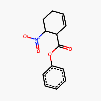 O=C(Oc1ccccc1)C1C=CCCC1[N+](=O)[O-]